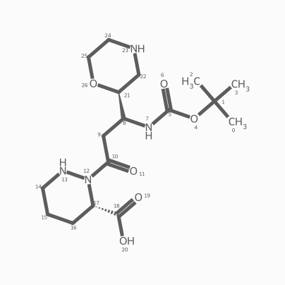 CC(C)(C)OC(=O)NC(CC(=O)N1NCCC[C@H]1C(=O)O)[C@@H]1CNCCO1